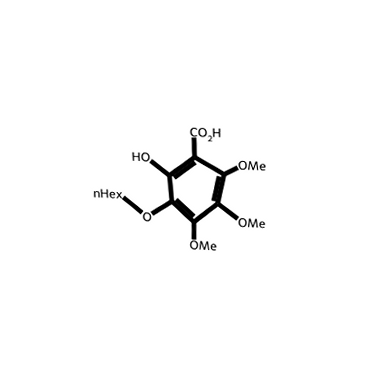 CCCCCCOc1c(O)c(C(=O)O)c(OC)c(OC)c1OC